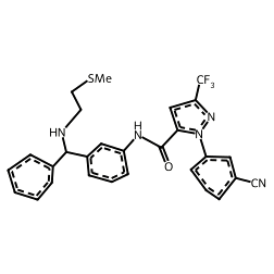 CSCCNC(c1ccccc1)c1cccc(NC(=O)c2cc(C(F)(F)F)nn2-c2cccc(C#N)c2)c1